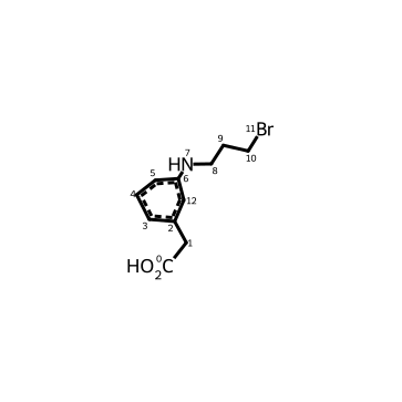 O=C(O)Cc1cccc(NCCCBr)c1